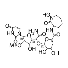 COC1C(O)[C@@H](C(O[C@H]2OC(C(=O)NC3CCCCN(O)C3=O)=CC(O)C2O)C(N)=O)O[C@H]1n1ccc(=O)[nH]c1=O